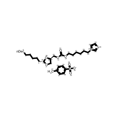 CCCCCCCCCCCCCCC[C@H]1OC[C@H](COC(=O)OCCCCCC[n+]2ccsc2)O1.Cc1ccc(S(=O)(=O)[O-])cc1